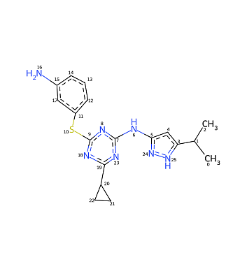 CC(C)c1cc(Nc2nc(Sc3cccc(N)c3)nc(C3CC3)n2)n[nH]1